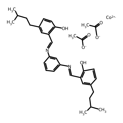 CC(=O)[O-].CC(=O)[O-].CC(C)CCc1ccc(O)c(C=Nc2cccc(N=Cc3cc(CCC(C)C)ccc3O)c2)c1.[Co+2]